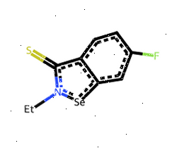 CCn1[se]c2cc(F)ccc2c1=S